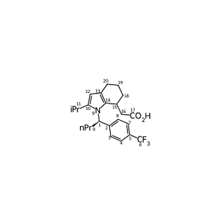 CCC[C@H](c1ccc(C(F)(F)F)cc1)n1c(C(C)C)cc2c1C(CC(=O)O)CCC2